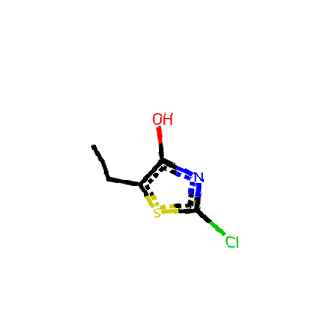 CCc1sc(Cl)nc1O